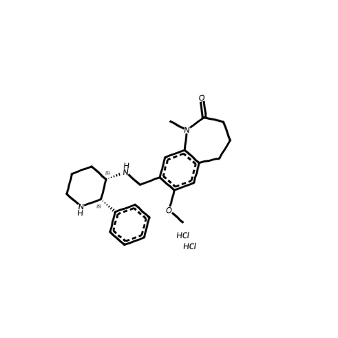 COc1cc2c(cc1CN[C@H]1CCCN[C@H]1c1ccccc1)N(C)C(=O)CCC2.Cl.Cl